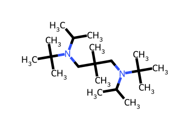 CC(C)N(CC(C)(C)CN(C(C)C)C(C)(C)C)C(C)(C)C